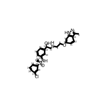 Cc1n[nH]c2cc(OCCNC[C@H](O)c3cccc(NS(=O)(=O)c4cccc(Cl)c4)c3)ccc12